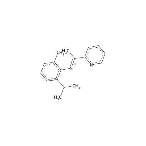 C/C(=N\c1c(C)cccc1C(C)C)c1ccccn1